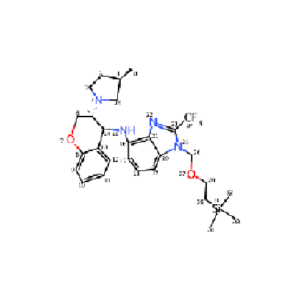 C[C@@H]1CCN([C@H]2COc3ccccc3[C@@H]2Nc2cccc3c2nc(C(F)(F)F)n3COCC[Si](C)(C)C)C1